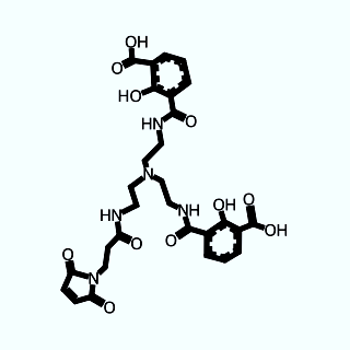 O=C(CCN1C(=O)C=CC1=O)NCCN(CCNC(=O)c1cccc(C(=O)O)c1O)CCNC(=O)c1cccc(C(=O)O)c1O